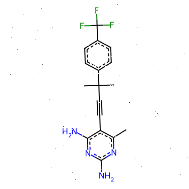 Cc1nc(N)nc(N)c1C#CC(C)(C)c1ccc(C(F)(F)F)cc1